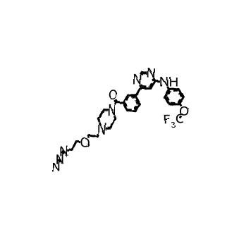 [N-]=[N+]=NCCOCCN1CCN(C(=O)c2cccc(-c3cc(Nc4ccc(OC(F)(F)F)cc4)ncn3)c2)CC1